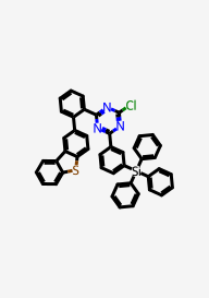 Clc1nc(-c2cccc([Si](c3ccccc3)(c3ccccc3)c3ccccc3)c2)nc(-c2ccccc2-c2ccc3sc4ccccc4c3c2)n1